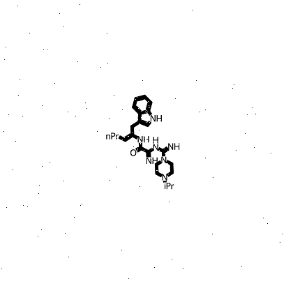 CCC/C=C(\Cc1c[nH]c2ccccc12)NC(=O)C(=N)NC(=N)N1CCN(C(C)C)CC1